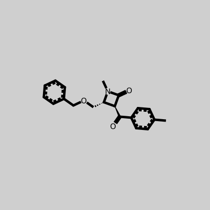 Cc1ccc(C(=O)[C@@H]2C(=O)N(C)[C@H]2COCc2ccccc2)cc1